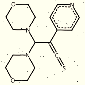 S=C=C(c1ccncc1)C(N1CCOCC1)N1CCOCC1